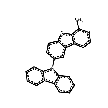 Cc1nccc2c1sc1ccc(-n3c4ccccc4c4ccccc43)cc12